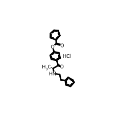 C[C@@H](NCCc1ccccc1)C(=O)c1ccc(OC(=O)c2ccccc2)cc1.Cl